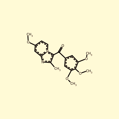 COc1ccn2c(C(=O)c3cc(OC)c(OC)c(OC)c3)c(C)nc2c1